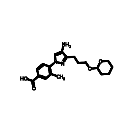 Cc1cc(C(=O)O)ccc1-n1cc(N)c(CCCOC2CCCCO2)n1